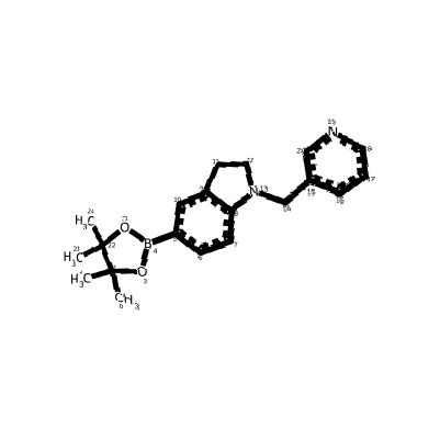 CC1(C)OB(c2ccc3c(c2)CCN3Cc2cccnc2)OC1(C)C